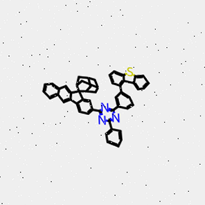 c1ccc(-c2nc(-c3cccc(-c4cccc5sc6ccccc6c45)c3)nc(-c3ccc4c(c3)C3(c5cc6ccccc6cc5-4)C4CC5CC(C4)CC3C5)n2)cc1